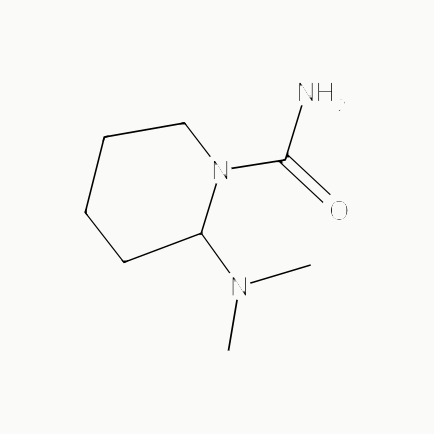 CN(C)C1CCCCN1C(N)=O